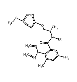 C=NN(N=C)c1c(C)cc(P)cc1C(=O)N(CC)[C@@H](C)COc1ccc(OC(F)(F)F)cn1